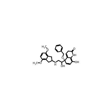 COc1ccc(OC)c2c1CC(NCC(O)[C@@]1(OCc3ccccc3)C=CC(O)=C3NC(=O)CC=C31)C2